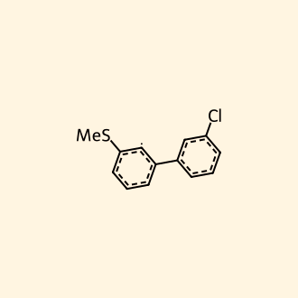 CSc1[c]c(-c2cccc(Cl)c2)ccc1